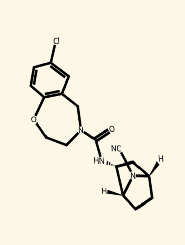 N#CN1[C@H]2CC[C@@H]1[C@H](NC(=O)N1CCOc3ccc(Cl)cc3C1)C2